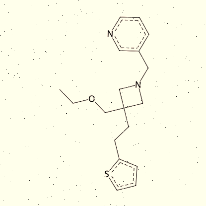 CCOCC1(CCc2cccs2)CN(Cc2cccnc2)C1